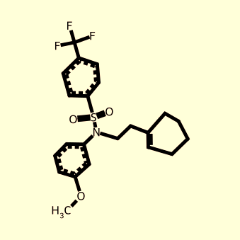 COc1cccc(N(CCC2=CCCCC2)S(=O)(=O)c2ccc(C(F)(F)F)cc2)c1